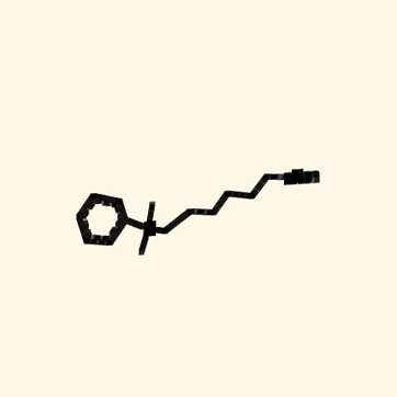 [CH2]CCCCCCCCCCCCCC[Si](C)(C)c1ccccc1